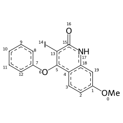 COc1ccc2c(Oc3ccccc3)c(I)c(=O)[nH]c2c1